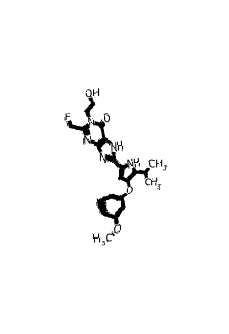 COc1cccc(Oc2cc(-c3nc4nc(CF)n(CCO)c(=O)c4[nH]3)[nH]c2C(C)C)c1